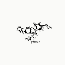 COc1ccc(N2Cc3cnc(Nc4ccccc4)nc3N(C3CC(O)CC(O)C3)C2=O)c(F)c1